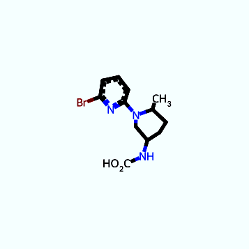 CC1CCC(NC(=O)O)CN1c1cccc(Br)n1